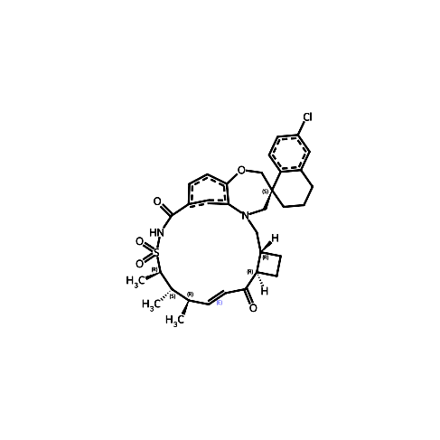 C[C@H]1[C@H](C)/C=C/C(=O)[C@@H]2CC[C@H]2CN2C[C@@]3(CCCc4cc(Cl)ccc43)COc3ccc(cc32)C(=O)NS(=O)(=O)[C@@H]1C